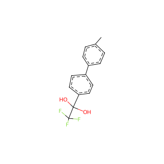 Cc1ccc(-c2ccc(C(O)(O)C(F)(F)F)cc2)cc1